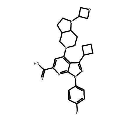 O=C(O)c1cc(N2CCC3C(CCN3C3COC3)C2)c2c(C3CCC3)nn(-c3ccc(F)cc3)c2n1